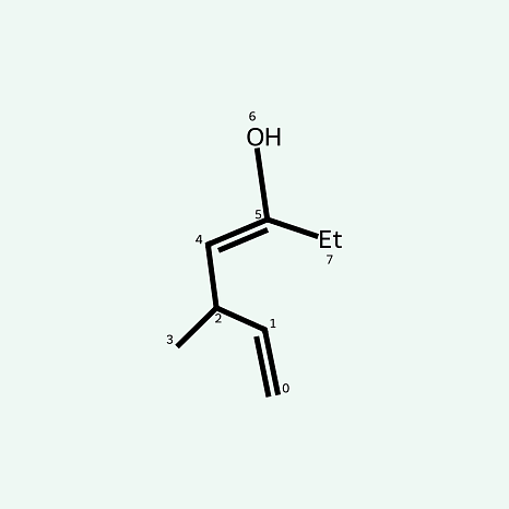 C=CC(C)/C=C(/O)CC